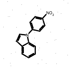 O=[N+]([O-])c1ccc(-n2c[c]c3ccccc32)cc1